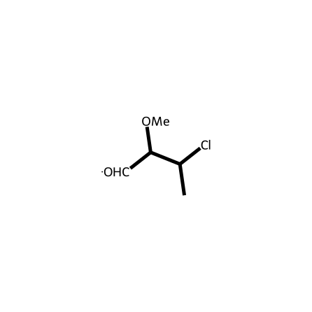 COC([C]=O)C(C)Cl